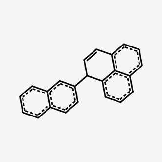 C1=CC(c2ccc3ccccc3c2)c2cccc3cccc1c23